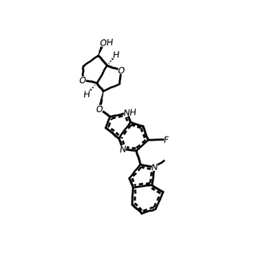 Cn1c(-c2nc3cc(O[C@@H]4CO[C@H]5[C@@H]4OC[C@H]5O)[nH]c3cc2F)cc2ccccc21